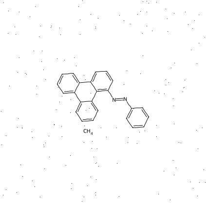 C.c1ccc(N=Nc2cccc3c4ccccc4c4ccccc4c23)cc1